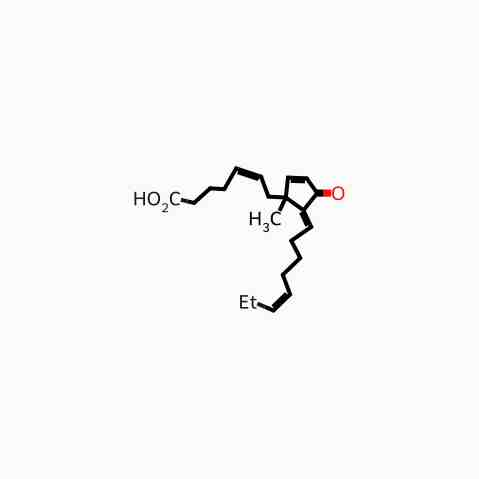 CC/C=C\CCC/C=C1/C(=O)C=CC1(C)C/C=C\CCCC(=O)O